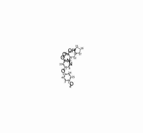 COc1ccc(Oc2cnn(C(CC3CCCC3)C(=O)O)c(=O)c2)cc1